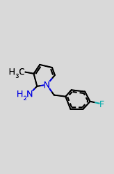 CC1=CC=CN(Cc2ccc(F)cc2)C1N